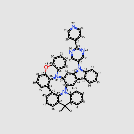 CC1(C)c2ccccc2-n2c3cc4c5ccccc5n(-c5cnc(-c6ccncc6)nc5)c4cc3n3c4c(cccc4c4cccc1c42)Oc1ccccc1-3